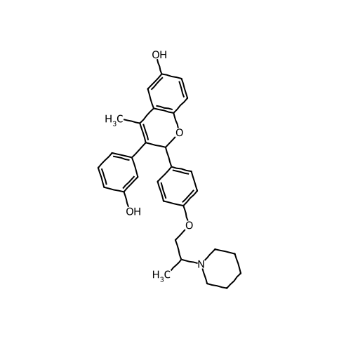 CC1=C(c2cccc(O)c2)C(c2ccc(OCC(C)N3CCCCC3)cc2)Oc2ccc(O)cc21